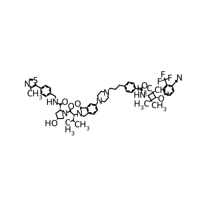 Cc1ncsc1-c1ccc(CNC(=O)[C@@H]2C[C@@H](O)CN2C(=O)[C@H](C(C)C)N2Cc3ccc(N4CCN(CCCc5ccc(C(=O)N[C@H]6C(C)(C)[C@H](Oc7ccc(C#N)c(C(F)(F)F)c7)C6(C)C)cc5)CC4)cc3C2=O)cc1